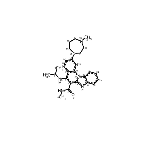 CNC(=O)c1c(NC(C)C)c2ncc(N3CCCN(C)CC3)nc2n2c1nc1ccccc12